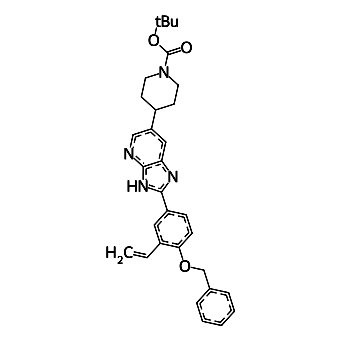 C=Cc1cc(-c2nc3cc(C4CCN(C(=O)OC(C)(C)C)CC4)cnc3[nH]2)ccc1OCc1ccccc1